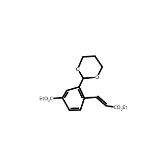 CCOC(=O)/C=C/c1ccc(C(=O)OCC)cc1C1OCCCO1